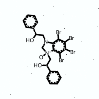 [O-][N+]1(CC(O)c2ccccc2)CN(CC(O)c2ccccc2)c2c(Br)c(Br)c(Br)c(Br)c21